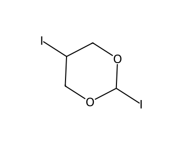 IC1COC(I)OC1